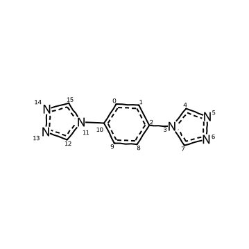 c1cc(-n2cnnc2)ccc1-n1cnnc1